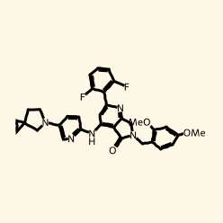 COc1ccc(CN2Cc3nc(-c4c(F)cccc4F)cc(Nc4ccc(N5CCC6(CC6)C5)cn4)c3C2=O)c(OC)c1